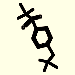 CC(C)(C)Cc1ccc(S(=O)(=O)C(C)(C)C)cc1